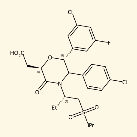 CC[C@@H](CS(=O)(=O)C(C)C)N1C(=O)[C@@H](CC(=O)O)O[C@H](c2cc(F)cc(Cl)c2)C1c1ccc(Cl)cc1